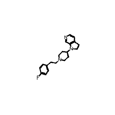 Fc1ccc(CCN2CCC(N3CCc4ccncc43)CC2)cc1